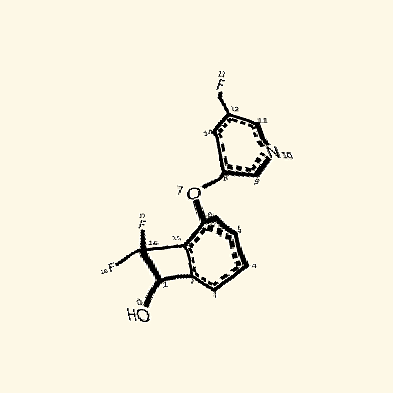 OC1c2cccc(Oc3cncc(F)c3)c2C1(F)F